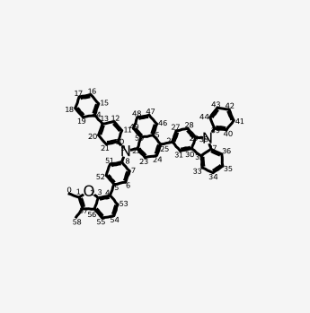 Cc1oc2c(-c3ccc(N(c4ccc(-c5ccccc5)cc4)c4ccc(-c5ccc6c(c5)c5ccccc5n6-c5ccccc5)c5ccccc45)cc3)cccc2c1C